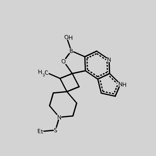 CCSN1CCC2(CC1)CC1(OB(O)c3cnc4[nH]ccc4c31)C2C